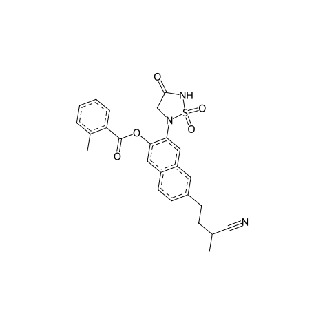 Cc1ccccc1C(=O)Oc1cc2ccc(CCC(C)C#N)cc2cc1N1CC(=O)NS1(=O)=O